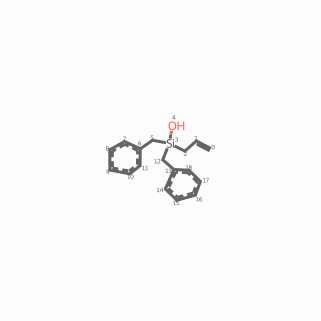 C=CC[Si](O)(Cc1ccccc1)Cc1ccccc1